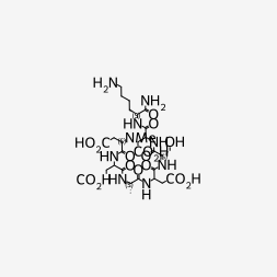 CN[C@@H](CC(=O)O)C(=O)NC(CC(=O)O)C(=O)N[C@@H](C)C(=O)NC(CC(=O)O)C(=O)N[C@@H](CO)C(=O)NC(CC(=O)O)C(=O)N[C@@H](CCCCN)C(N)=O